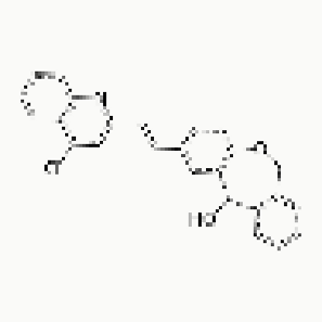 OC1c2ccccc2COc2ccc(/C=C/c3cc(Cl)c4ccccc4n3)cc21